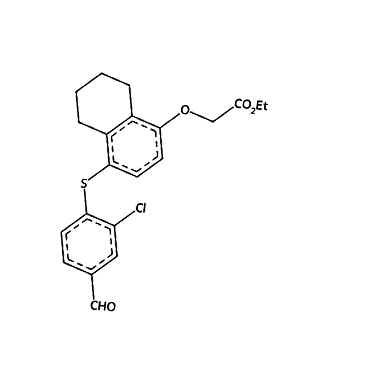 CCOC(=O)COc1ccc(Sc2ccc(C=O)cc2Cl)c2c1CCCC2